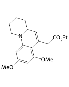 CCOC(=O)CC1=CC2CCCCN2c2cc(OC)cc(OC)c21